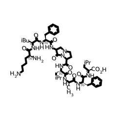 CCC(C)[C@H](NC(=O)[C@@H](N)CCCCN)C(=O)N[C@@H](Cc1ccccc1)C(=O)NC1CN2CCC(C(=O)N[C@@H](CC(C)C)C(=O)N[C@@H](C)C(=O)N[C@@H](Cc3ccccc3)C(=O)N[C@@H](CC(C)C)C(=O)O)N2C1=O